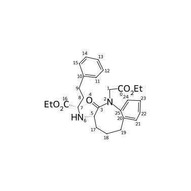 CCOC(=O)CN1C(=O)[C@@H](N[C@@H](CCc2ccccc2)C(=O)OCC)CCCc2ccccc21